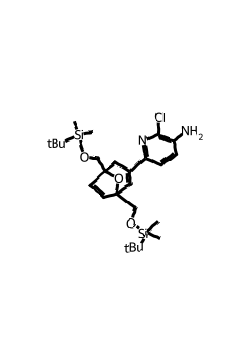 CC(C)(C)[Si](C)(C)OCC12C=CC(CO[Si](C)(C)C(C)(C)C)(CC(c3ccc(N)c(Cl)n3)=C1)O2